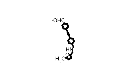 Cc1ccc(CNCc2ccc(C#Cc3ccc([C]=O)cc3)cc2)o1